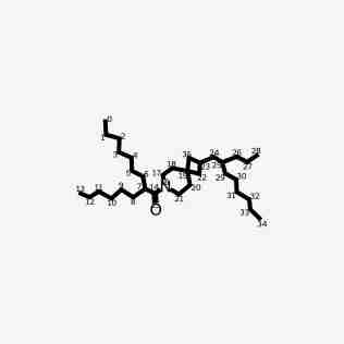 CCCCCCCC(CCCCCC)C(=O)N1CCC2(CC1)CC(CC(CCC)CCCCCC)C2